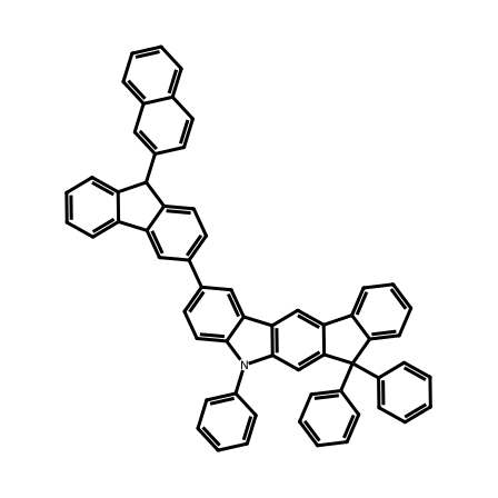 c1ccc(-n2c3ccc(-c4ccc5c(c4)-c4ccccc4C5c4ccc5ccccc5c4)cc3c3cc4c(cc32)C(c2ccccc2)(c2ccccc2)c2ccccc2-4)cc1